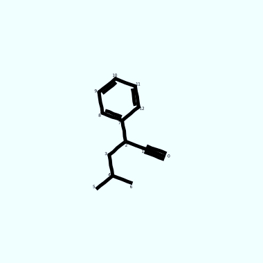 C#CC(CC(C)C)c1ccccc1